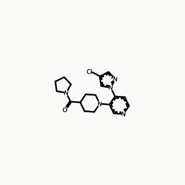 O=C(C1CCN(c2cnccc2-n2cc(Cl)cn2)CC1)N1CCCC1